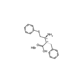 Br.N[C@H](CSc1ccccc1)[C@H](Cc1ccccc1)C(=O)O